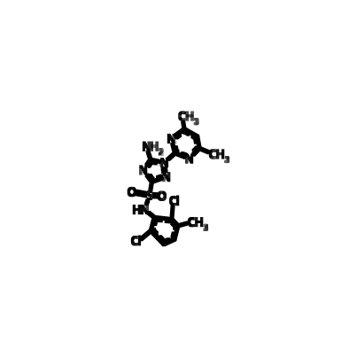 Cc1cc(C)nc(-n2nc(S(=O)(=O)Nc3c(Cl)ccc(C)c3Cl)nc2N)n1